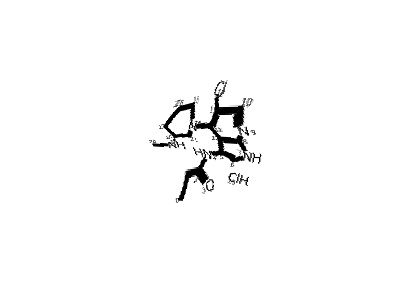 CCC(=O)Nc1c[nH]c2ncc(Cl)c(N3CCC[C@@H](NC)C3)c12.Cl